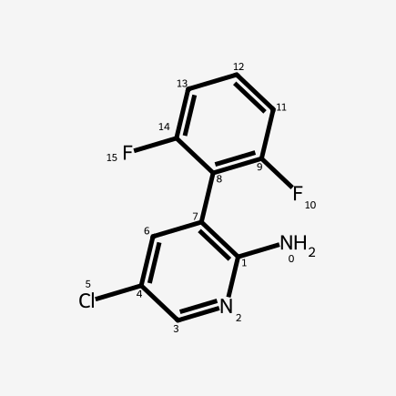 Nc1ncc(Cl)cc1-c1c(F)cccc1F